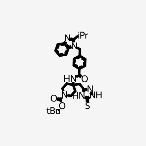 CC(C)c1nc2ccccc2n1Cc1ccc(C(=O)NC2(Cc3n[nH]c(=S)[nH]3)CCN(C(=O)OC(C)(C)C)CC2)cc1